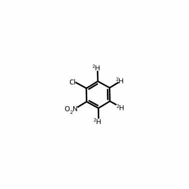 [2H]c1c([2H])c([2H])c([N+](=O)[O-])c(Cl)c1[2H]